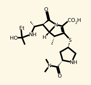 CCC(C)(O)N[C@H](C)[C@H]1C(=O)N2C(C(=O)O)=C(S[C@@H]3CN[C@H](C(=O)N(C)C)C3)[C@H](C)[C@H]12